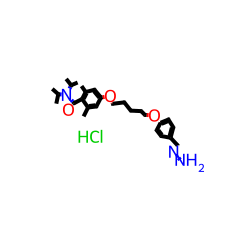 Cc1cc(OCCCCCOc2ccc(C=NN)cc2)cc(C)c1C(=O)N(C(C)C)C(C)C.Cl